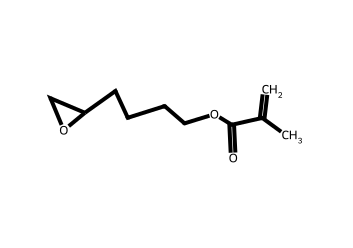 C=C(C)C(=O)OCCCCC1CO1